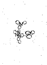 C1=CC(n2c3ccccc3c3cc(-c4nc(-n5c6ccc(C7=C8Oc9ccccc9C8CC=C7)cc6c6c7c(ccc65)C=CCC7)nc5c4=CCCC=5)ccc32)=CCC1